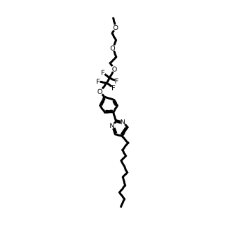 CCCCCCCCCCc1cnc(-c2ccc(OC(F)(F)C(F)(F)OCCOCCOC)cc2)nc1